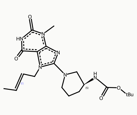 C/C=C/Cn1c(N2CCC[C@H](NC(=O)OC(C)(C)C)C2)nc2c1c(=O)[nH]c(=O)n2C